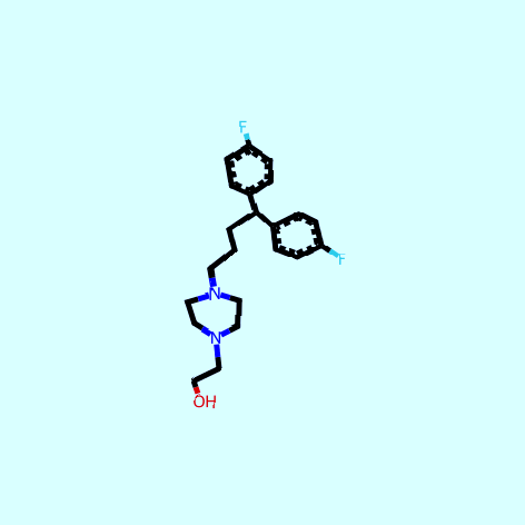 OCCN1CCN(CCCC(c2ccc(F)cc2)c2ccc(F)cc2)CC1